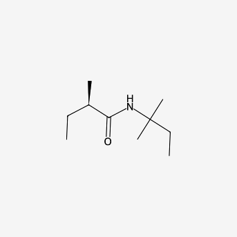 CC[C@@H](C)C(=O)NC(C)(C)CC